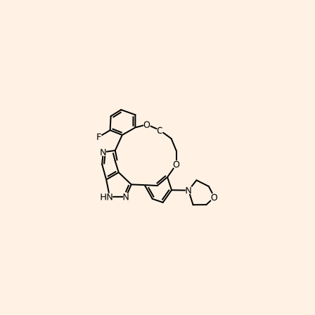 Fc1cccc2c1-c1cc3c(n[nH]c3cn1)-c1ccc(N3CCOCC3)c(c1)OCCCO2